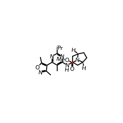 COC(=O)N1[C@@H]2CC[C@H]1CC(Nc1nc(C(C)C)nc(-c3c(C)noc3C)c1C)C2